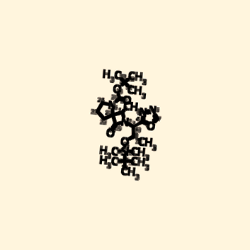 CC1N([C@@H](c2nnco2)[C@H](C)O[Si](C)(C)C(C)(C)C)C(=O)C12CCCN2C(=O)OC(C)(C)C